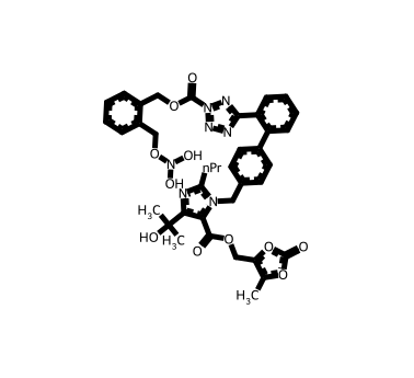 CCCc1nc(C(C)(C)O)c(C(=O)OCc2oc(=O)oc2C)n1Cc1ccc(-c2ccccc2-c2nnn(C(=O)OCc3ccccc3CON(O)O)n2)cc1